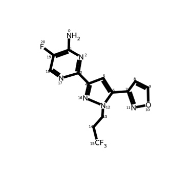 Nc1nc(-c2cc(-c3ccon3)n(CCC(F)(F)F)n2)ncc1F